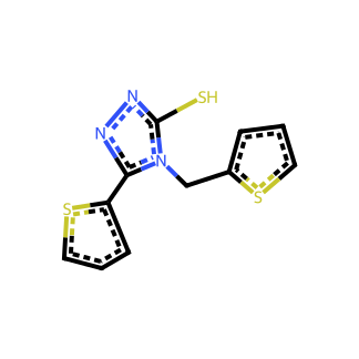 Sc1nnc(-c2cccs2)n1Cc1cccs1